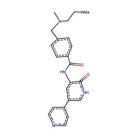 CNCCN(C)Cc1ccc(C(=O)Nc2cc(-c3ccncc3)c[nH]c2=O)cc1